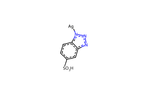 O=S(=O)(O)c1ccc2c(c1)nn[n]2[Ag]